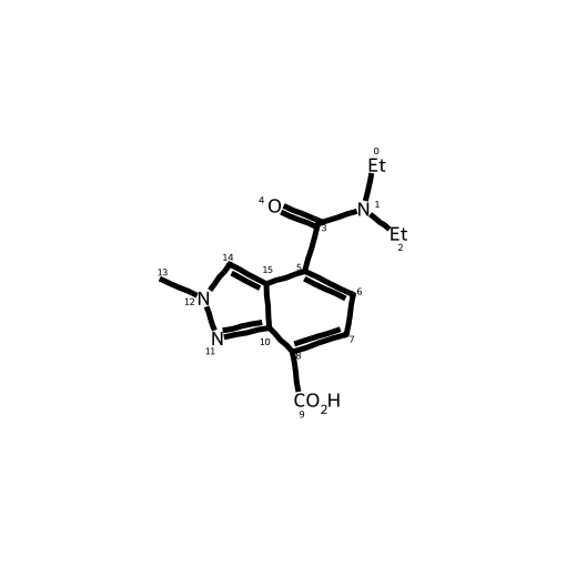 CCN(CC)C(=O)c1ccc(C(=O)O)c2nn(C)cc12